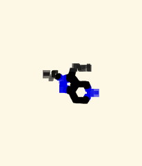 CCCC(C)c1c2c(nn1C)CCNC2